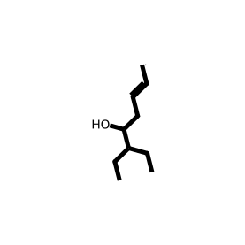 [CH2]C=CCC(O)C(CC)CC